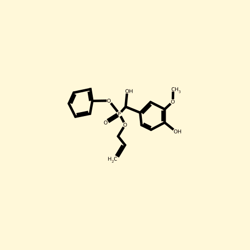 C=CCOP(=O)(Oc1ccccc1)C(O)c1ccc(O)c(OC)c1